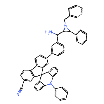 N#Cc1ccc2c(c1)C1(c3cc(-c4cccc(C(N)C5C(c6ccccc6)[N@]5Cc5ccccc5)c4)ccc3-2)c2ccccc2N(c2ccccc2)c2ccccc21